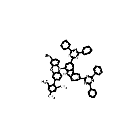 Cc1cc(C)c(-c2ccc3c(c2)Oc2cc(C(C)(C)C)ccc2B3c2cc(-c3nc(-c4ccccc4)nc(-c4ccccc4)n3)cc3c2[nH]c2ccc(-c4nc(-c5ccccc5)nc(-c5ccccc5)n4)cc23)c(C)c1